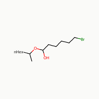 CCCCCCC(C)OC(O)CCCCCBr